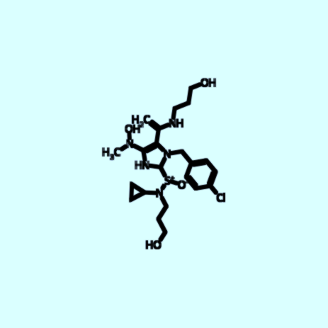 C=C(NCCCO)C1=C(N(C)O)NC([S+]([O-])N(CCCO)C2CC2)N1Cc1ccc(Cl)cc1